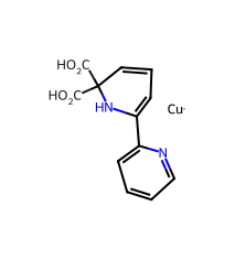 O=C(O)C1(C(=O)O)C=CC=C(c2ccccn2)N1.[Cu]